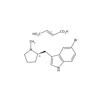 CN1CCC[C@@H]1Cc1c[nH]c2ccc(Br)cc12.O=C(O)/C=C/C(=O)O